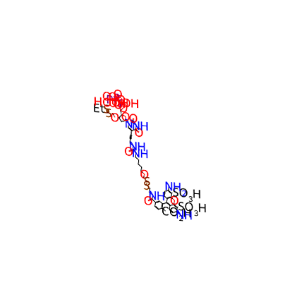 CCSSCO[C@@H]1C[C@H](n2cc(C#CCNC(=O)NCCCCCOCSSCCNC(=O)c3ccc(C(=O)O)c(-c4c5ccc(=N)c(S(=O)(=O)O)c-5oc5c(S(=O)(=O)O)c(N)ccc45)c3)c(=O)[nH]c2=O)O[C@@H]1COP(=O)(O)OP(=O)(O)OP(=O)(O)O